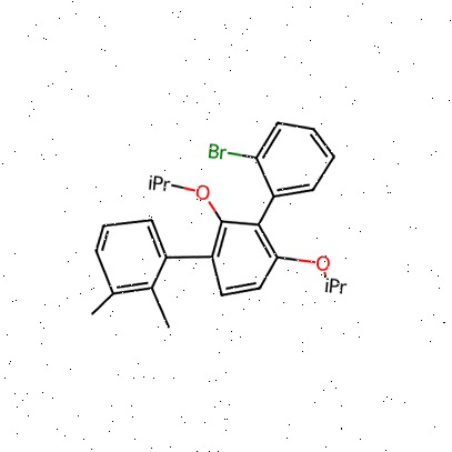 Cc1cccc(-c2ccc(OC(C)C)c(-c3ccccc3Br)c2OC(C)C)c1C